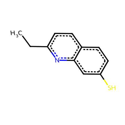 CCc1ccc2ccc(S)cc2n1